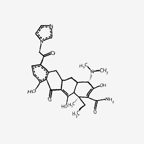 CC[C@]1(C)C(C(N)=O)=C(O)[C@@H](N(C)C)C2CC3Cc4c(C(=O)Cn5ccnc5)ccc(O)c4C(=O)C3=C(O)C21